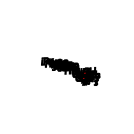 C/C=C/[C@@H](CC(C)(C)[Si](O)(c1ccccc1)c1ccccc1)[C@H](CO)NC(=O)CNC(=O)CO[C@H]1CC[C@@]2(C)C(CCC3C2CC[C@@]2(C)C3CC[C@@H]2CCCCC(C)C)C1